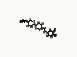 CCC[C@H]1CC[C@H]([C@H]2CC[C@H](C=Cc3ccc(F)c(F)c3)CC2)CC1